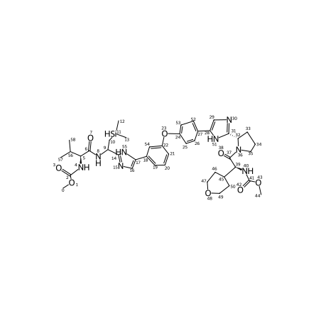 COC(=O)N[C@H](C(=O)NC(C[SiH](C)C)c1ncc(-c2cccc(Oc3ccc(-c4cnc([C@@H]5CCCN5C(=O)[C@@H](NC(=O)OC)C5CCOCC5)[nH]4)cc3)c2)[nH]1)C(C)C